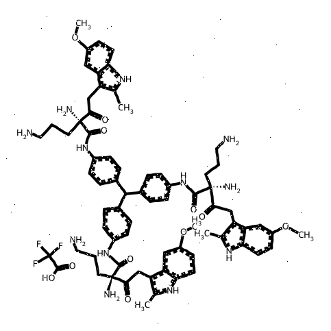 COc1ccc2[nH]c(C)c(CC(=O)[C@](N)(CCCN)C(=O)Nc3ccc(C(c4ccc(NC(=O)[C@@](N)(CCCN)C(=O)Cc5c(C)[nH]c6ccc(OC)cc56)cc4)c4ccc(NC(=O)[C@@](N)(CCCN)C(=O)Cc5c(C)[nH]c6ccc(OC)cc56)cc4)cc3)c2c1.O=C(O)C(F)(F)F